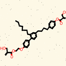 C=C(CO)C(=O)OCCOc1ccc(-c2ccc(CCCCc3ccc(OC(=O)C(=C)CO)cc3)cc2CCCCCCC)cc1